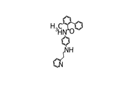 Cc1cccc(-c2ccccc2)c1C(=O)Nc1ccc(NCCc2ccccn2)cc1